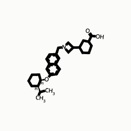 CC(C)[C@H]1CCCC[C@H]1Oc1ccc2cc(CN3CC(C4CCCC(C(=O)O)C4)C3)ccc2c1